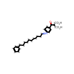 O=C(O)C(C(=O)O)C(=O)c1ccc(NCCCCCCCCCCCc2ccccc2)cc1